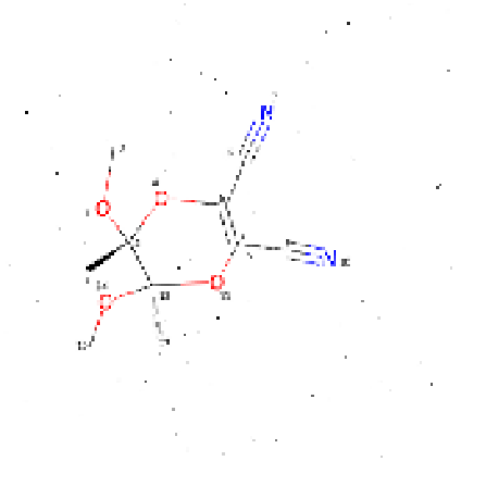 CO[C@]1(C)OC(C#N)=C(C#N)O[C@@]1(C)OC